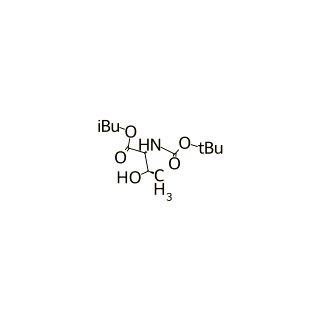 CCC(C)OC(=O)[C@@H](NC(=O)OC(C)(C)C)[C@@H](C)O